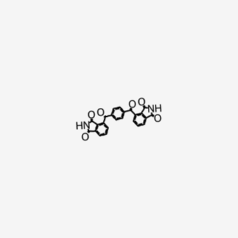 O=C1NC(=O)c2c1cccc2C(=O)c1ccc(C(=O)c2cccc3c2C(=O)NC3=O)cc1